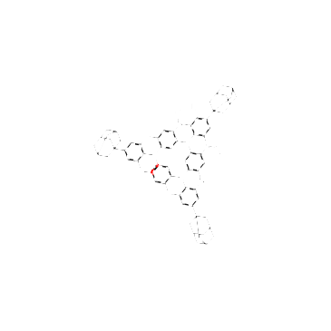 CSN1c2cc3c(cc2B2c4cc5c(cc4N(SC)c4cc(C67CC8CC(CC(C8)C6)C7)cc1c42)Oc1cc(C24CC6CC(CC(C6)C2)C4)cc2c1B5c1ccccc1O2)B1c2ccccc2Oc2cc(C45CC6CC(CC(C6)C4)C5)cc(c21)N3